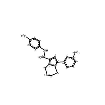 Cc1ccc(NC(=O)c2nc(-c3cccc([N+](=O)[O-])c3)n3c2CNCC3)cc1